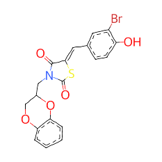 O=C1S/C(=C\c2ccc(O)c(Br)c2)C(=O)N1CC1COc2ccccc2O1